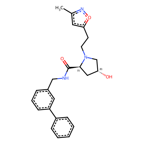 Cc1cc(CCN2C[C@H](O)C[C@H]2C(=O)NCc2cccc(-c3ccccc3)c2)on1